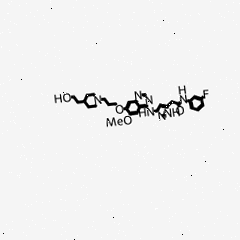 COc1cc2c(Nc3cc(CC(=O)Nc4cccc(F)c4)[nH]n3)ncnc2cc1OCCCN1CCC(CCO)CC1